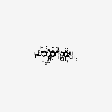 CCN(c1c(C)c(C(=O)NCc2c(OC)cc(C)[nH]c2=O)cc2nn(C)cc12)C1CCN(CC(F)(F)F)CC1